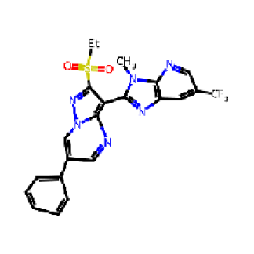 CCS(=O)(=O)c1nn2cc(-c3ccccc3)cnc2c1-c1nc2cc(C(F)(F)F)cnc2n1C